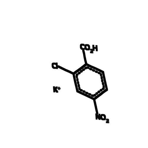 O=C(O)c1ccc([N+](=O)[O-])cc1Cl.[K+]